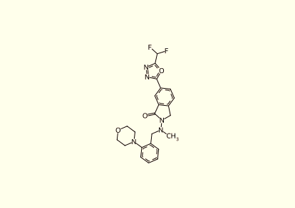 CN(Cc1ccccc1N1CCOCC1)N1Cc2ccc(-c3nnc(C(F)F)o3)cc2C1=O